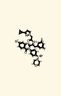 O=C(Cn1ccc(C2CC2)n1)NC(Cc1cc(F)cc(F)c1)c1nc2cc(Br)ccc2c(=O)n1-c1ccc([S+]([O-])N2CCOCC2)cc1